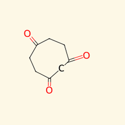 O=C1CCC(=O)CC(=O)CC1